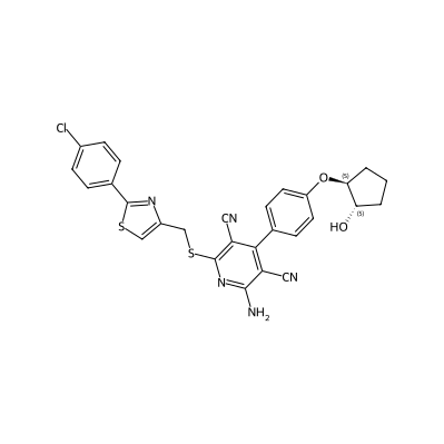 N#Cc1c(N)nc(SCc2csc(-c3ccc(Cl)cc3)n2)c(C#N)c1-c1ccc(O[C@H]2CCC[C@@H]2O)cc1